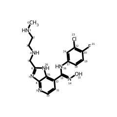 CNCCNCc1nc2nccc(/C(=N/O)Nc3ccc(F)c(Cl)c3)c2[nH]1